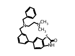 CN(C)CCN(Cc1ccccc1)Cc1cccc(-c2ccc3[nH]c(=O)sc3c2)c1